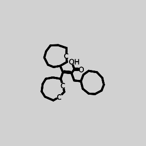 O=C(O)C(CC1CCCCCCCCC1)=C(C1CCCCCCCCC1)C1CCCCCCCCC1